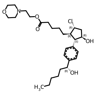 CCCCC[C@@H](O)c1ccc([C@@H]2[C@@H](CCCCC(=O)OCCN3CCOCC3)[C@H](Cl)C[C@H]2O)cc1